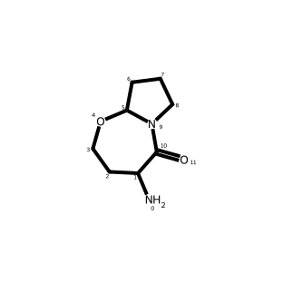 NC1CCOC2CCCN2C1=O